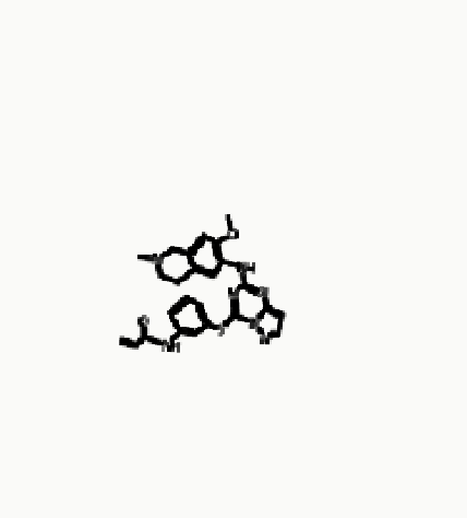 C=CC(=O)Nc1cccc(Sc2nc(Nc3cc4c(cc3OC)CN(C)CC4)nc3ccnn23)c1